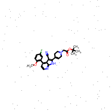 COc1ccc(F)cc1-c1ccnc2[nH]c(C3=CCN(CC(=O)OC(C)(C)C)CC3)c(C#N)c12